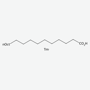 CCCCCCCCCCCCCCCCCC(=O)O.[Tm]